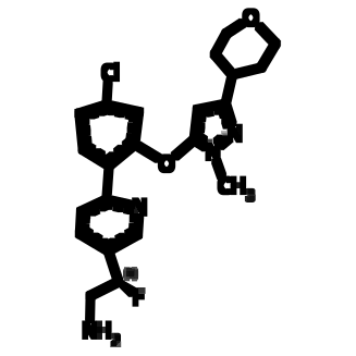 Cn1nc(C2CCOCC2)cc1Oc1cc(Cl)ccc1-c1ccc([C@@H](F)CN)cn1